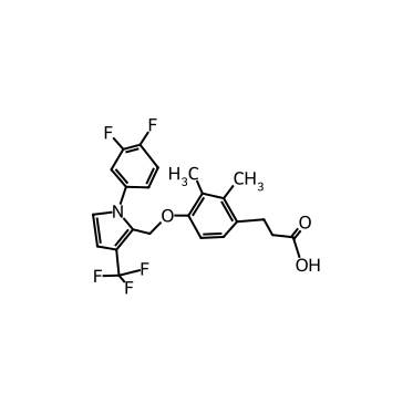 Cc1c(CCC(=O)O)ccc(OCc2c(C(F)(F)F)ccn2-c2ccc(F)c(F)c2)c1C